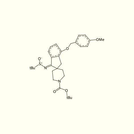 COc1ccc(COc2cccc3c2CC2(CCN(C(=O)OC(C)(C)C)CC2)C3=N[S+]([O-])C(C)(C)C)cc1